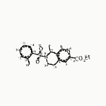 CCOC(=O)c1cc2c(cn1)C(C)N(S(=O)(=O)c1ccccc1C)CC2